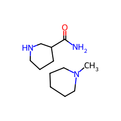 CN1CCCCC1.NC(=O)C1CCCNC1